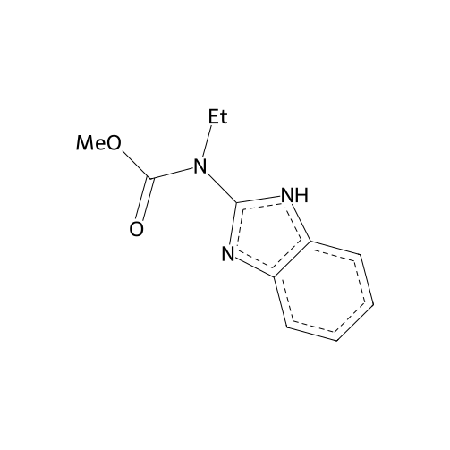 CCN(C(=O)OC)c1nc2ccccc2[nH]1